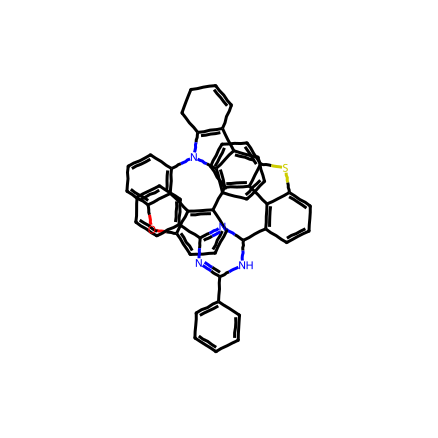 C1=Cc2c(n(-c3cccc4oc5cccc(-c6cccc7sc8cccc(C9N=C(c%10ccccc%10)N=C(c%10ccccc%10)N9)c8c67)c5c34)c3ccccc23)CC1